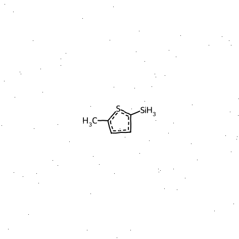 Cc1ccc([SiH3])s1